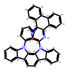 c1ccc(-n2c3ccccc3c3ccc4c5ccccc5n(-c5cnc6c7ccccc7c7ccccc7c6n5)c4c32)cc1